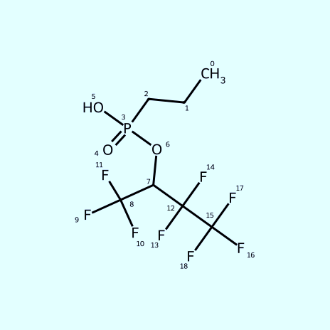 CCCP(=O)(O)OC(C(F)(F)F)C(F)(F)C(F)(F)F